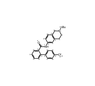 CCCCN1CCc2cc(NC(=O)c3ccccc3-c3ccc(C(F)(F)F)cc3)ccc2C1